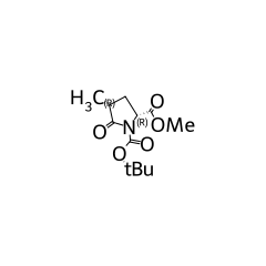 COC(=O)[C@H]1C[C@@H](C)C(=O)N1C(=O)OC(C)(C)C